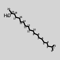 CC(C)CCCCCCCCCCCCCCCCC(C)O